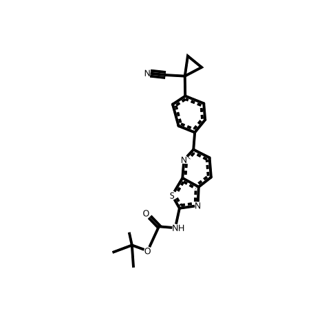 CC(C)(C)OC(=O)Nc1nc2ccc(-c3ccc(C4(C#N)CC4)cc3)nc2s1